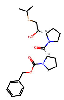 CC(C)SCC(O)[C@@H]1CCCN1C(=O)[C@@H]1CCCN1C(=O)OCc1ccccc1